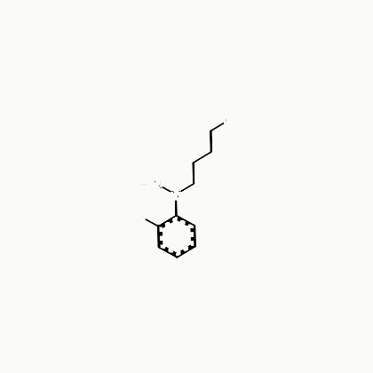 CCCCCN(N)c1ccccc1O